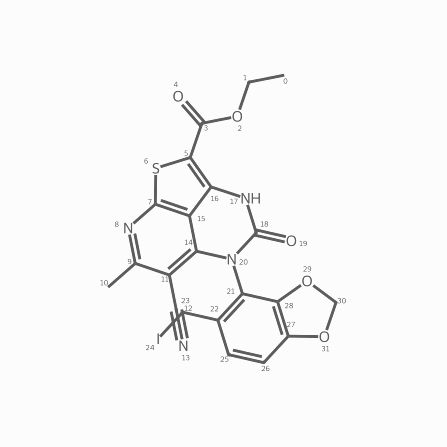 CCOC(=O)c1sc2nc(C)c(C#N)c3c2c1NC(=O)N3c1c(CI)ccc2c1OCO2